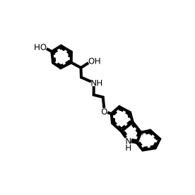 Oc1ccc(C(O)CNCCOc2ccc3c(c2)[nH]c2ccccc23)cc1